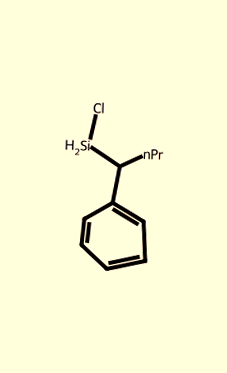 CCCC([SiH2]Cl)c1ccccc1